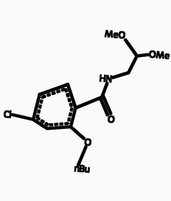 CCCCOc1cc(Cl)ccc1C(=O)NCC(OC)OC